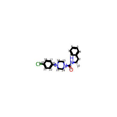 [CH2][C@@H](Cc1ccccc1)NC(=O)N1CCN(c2ccc(Cl)cc2)CC1